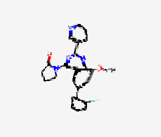 COc1cc(-c2ccccc2F)cc2c(N3CCCC3=O)nc(-c3cccnc3)nc12